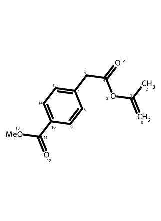 C=C(C)OC(=O)Cc1ccc(C(=O)OC)cc1